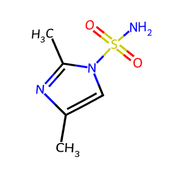 Cc1cn(S(N)(=O)=O)c(C)n1